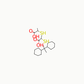 CC(C)(C1CCCCC1)C1CCCCC1.CC(S)C(=O)O.CC(S)C(=O)O